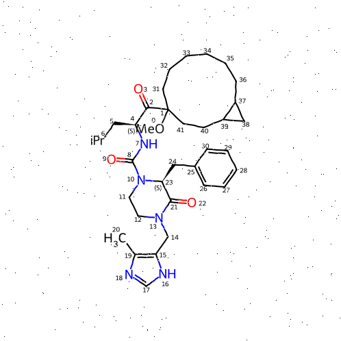 COC1(C(=O)[C@H](CC(C)C)NC(=O)N2CCN(Cc3[nH]cnc3C)C(=O)[C@@H]2Cc2ccccc2)CCCCCCC2CC2CC1